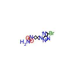 CN(C1CC2(C1)CN(c1ncnc3c(Br)cn(C)c13)C2)S(N)(=O)=O